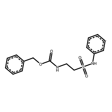 O=C(NCCS(=O)(=O)Nc1c[c]ccc1)OCc1ccccc1